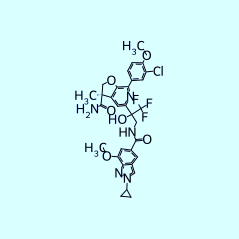 COc1ccc(-c2nc(C(O)(CNC(=O)c3cc(OC)c4nn(C5CC5)cc4c3)C(F)(F)F)cc3c2OC[C@]3(C)C(N)=O)cc1Cl